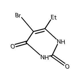 CCc1[nH]c(=O)[nH]c(=O)c1Br